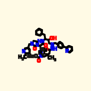 COC(=O)NCC(C)(C)CC(=O)NN(Cc1ccc(-c2ccccn2)cc1)CC(O)C(Cc1ccccc1)NC(=O)C(N1CCN(Cc2ccc(C)nc2)C1=O)C(C)(C)C